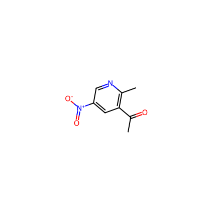 CC(=O)c1cc([N+](=O)[O-])cnc1C